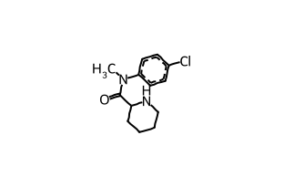 CN(C(=O)C1CCCCN1)c1ccc(Cl)cc1